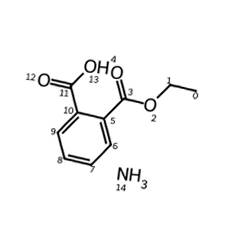 CCOC(=O)c1ccccc1C(=O)O.N